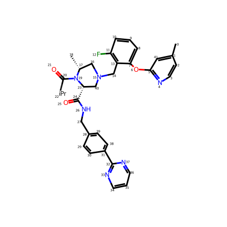 Cc1ccnc(Oc2cccc(F)c2CN2C[C@@H](C)N(C(=O)C(C)C)[C@@H](C(=O)NCc3ccc(-c4ncccn4)cc3)C2)c1